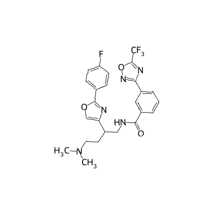 CN(C)CCC(CNC(=O)c1cccc(-c2noc(C(F)(F)F)n2)c1)c1coc(-c2ccc(F)cc2)n1